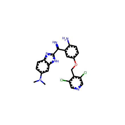 CN(C)c1ccc2nc(C(=N)c3cc(OCc4c(Cl)cncc4Cl)ccc3N)[nH]c2c1